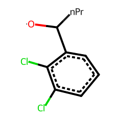 CCCC([O])c1cccc(Cl)c1Cl